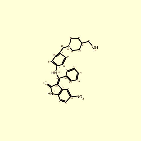 O=C1Nc2ccc([N+](=O)[O-])cc2/C1=C(/Nc1ccc(CN2CCC(CO)CC2)cc1)c1ccccc1